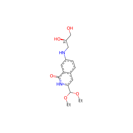 CCOC(OCC)c1cc2ccc(NC[C@@H](O)CO)cc2c(=O)[nH]1